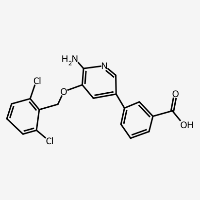 Nc1ncc(-c2cccc(C(=O)O)c2)cc1OCc1c(Cl)cccc1Cl